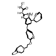 CCNC(=O)Nc1nc2cc(-c3ccc(OCCN4CCOCC4)nc3)cc(-c3ccccn3)c2[nH]1